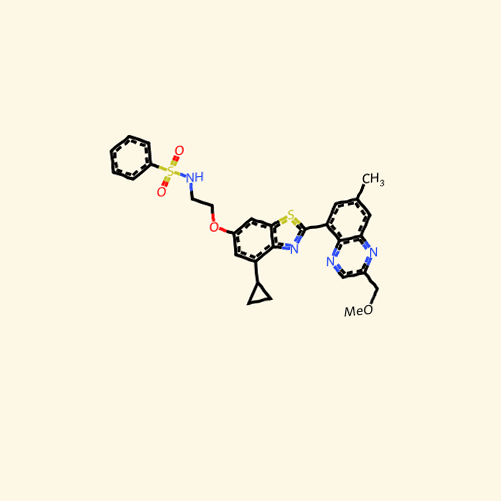 COCc1cnc2c(-c3nc4c(C5CC5)cc(OCCNS(=O)(=O)c5ccccc5)cc4s3)cc(C)cc2n1